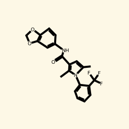 Cc1cc(C(=O)Nc2ccc3c(c2)OCO3)c(C)n1-c1ccccc1C(F)(F)F